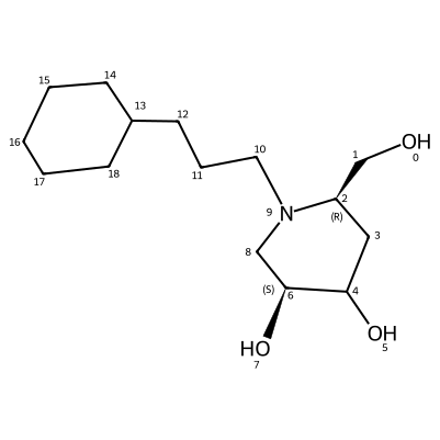 OC[C@H]1CC(O)[C@@H](O)CN1CCCC1CCCCC1